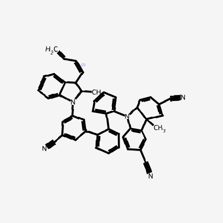 C=C/C=C\C1c2ccccc2N(c2cc(C#N)cc(-c3ccccc3-c3ccccc3N3c4ccc(C#N)cc4C4(C)C=C(C#N)C=CC34)c2)C1C